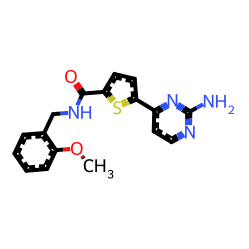 COc1ccccc1CNC(=O)c1ccc(-c2ccnc(N)n2)s1